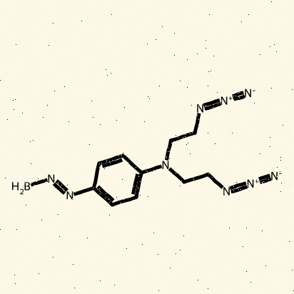 BN=Nc1ccc(N(CCN=[N+]=[N-])CCN=[N+]=[N-])cc1